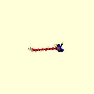 CC(C)(C)OC(=O)CCOCCOCCOCCOCCOCCOCCOCCOCCOC(=O)NSN1CCC(C)(c2ccncc2N(C=O)Cc2nc3cc(Cl)ccc3n2CCCCF)CC1